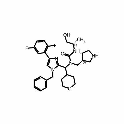 C[C@@H](CO)NC(=O)N(C[C@H]1[CH]CNC1)C(c1nc(-c2cc(F)ccc2F)cn1Cc1ccccc1)C1CCOCC1